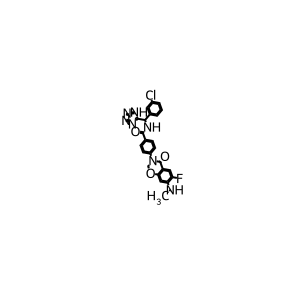 CNc1cc2c(cc1F)C(=O)N(c1ccc(C(=O)NC(c3cccc(Cl)c3)c3nnn[nH]3)cc1)CO2